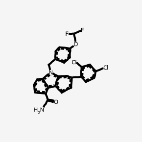 NC(=O)c1cccc2c1c1[c]cc(-c3ccc(Cl)cc3Cl)cc1n2Cc1ccc(OC(F)F)cc1